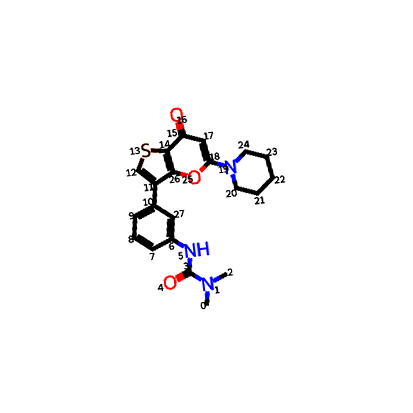 CN(C)C(=O)Nc1cccc(-c2csc3c(=O)cc(N4CCCCC4)oc23)c1